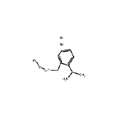 CC(C)[O][Sn+2][CH2]c1ccccc1C(C)N.[Br-].[Br-]